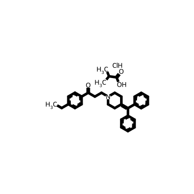 CC(C)C(=O)O.CCc1ccc(C(=O)CCN2CCC(=C(c3ccccc3)c3ccccc3)CC2)cc1.Cl